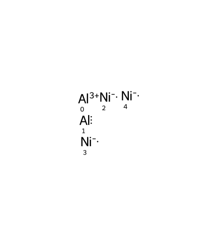 [Al+3].[Al].[Ni-].[Ni-].[Ni-]